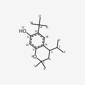 CC(C)C1CC(C)(C)Oc2cc(O)c(C(C)(C)C)cc21